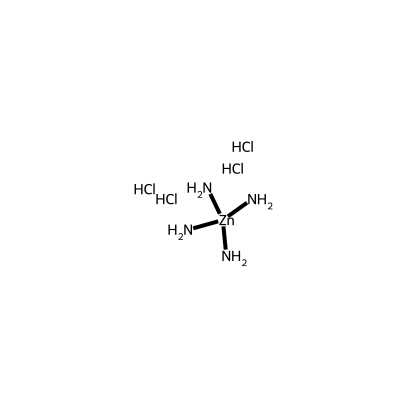 Cl.Cl.Cl.Cl.[NH2][Zn]([NH2])([NH2])[NH2]